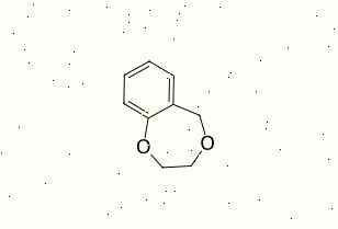 c1ccc2c(c1)COCCO2